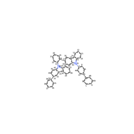 c1ccc(-c2ccc(-n3c4ccccc4c4cc(-c5ccccc5-n5c6ccccc6c6cc(-c7ccccc7)ccc65)ccc43)cc2)cc1